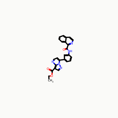 CCOC(=O)c1cnn2c(-c3cccc(NC(=O)c4nccc5ccccc45)c3)ccnc12